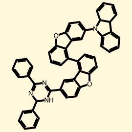 C1=CC2c3ccccc3N(c3ccc4oc5cccc(-c6cccc7oc8ccc(C9=NC(c%10ccccc%10)=NC(c%10ccccc%10)N9)cc8c67)c5c4c3)C2C=C1